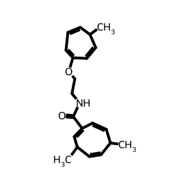 CC1C=CC=C(OCCNC(=O)C2=C/C(C)/C=C\C(C)/C=C\2)C=C1